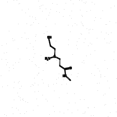 CNC(=O)CCN(N)CCO